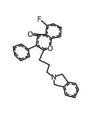 O=c1c(-c2ccccc2)c(CCCN2Cc3ccccc3C2)oc2cccc(F)c12